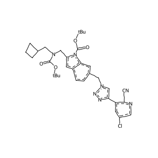 CC(C)(C)OC(=O)N(Cc1cc2ccc(Cn3cc(-c4cc(Cl)cnc4C#N)nn3)cc2n1C(=O)OC(C)(C)C)CC1CCC1